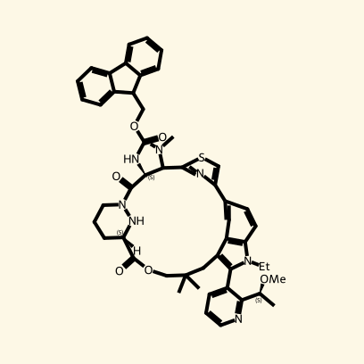 CCn1c(-c2cccnc2[C@H](C)OC)c2c3cc(ccc31)-c1csc(n1)C(N(C)C)[C@H](NC(=O)OCC1c3ccccc3-c3ccccc31)C(=O)N1CCC[C@H](N1)C(=O)OCC(C)(C)C2